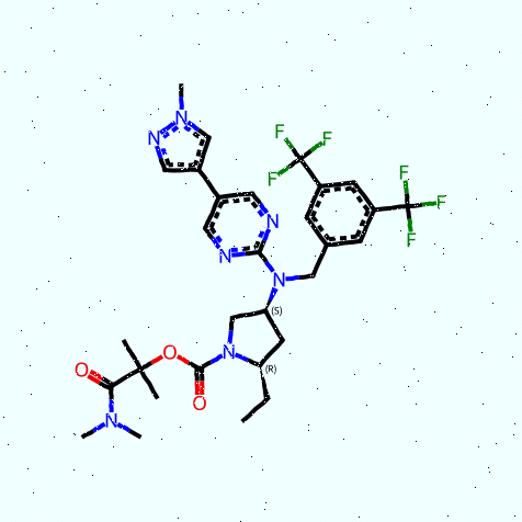 CC[C@@H]1C[C@H](N(Cc2cc(C(F)(F)F)cc(C(F)(F)F)c2)c2ncc(-c3cnn(C)c3)cn2)CN1C(=O)OC(C)(C)C(=O)N(C)C